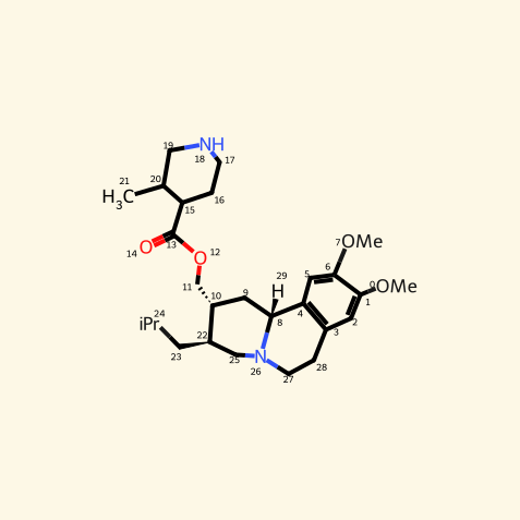 COc1cc2c(cc1OC)[C@H]1C[C@@H](COC(=O)C3CCNCC3C)[C@H](CC(C)C)CN1CC2